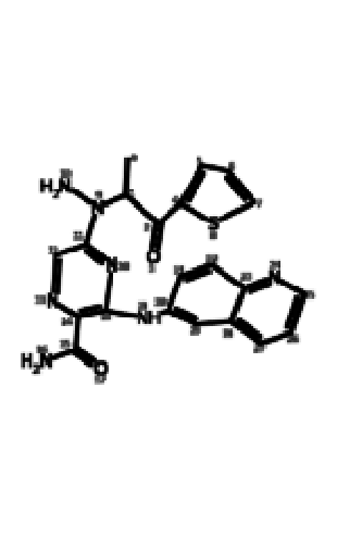 CC(C(=O)c1cccs1)N(N)c1cnc(C(N)=O)c(Nc2ccc3ncccc3c2)n1